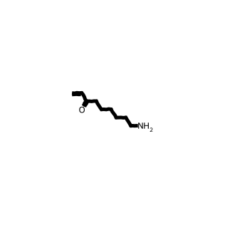 C=CC(=O)CCCCCCN